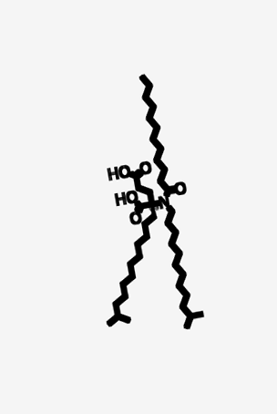 CCCCCCCCCCCC(=O)N(CCCCCCCCCCC(C)C)[C@@](CCCCCCCCCCC(C)C)(CCC(=O)O)C(=O)O